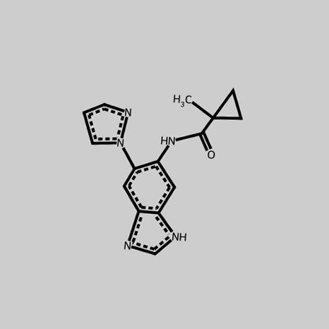 CC1(C(=O)Nc2cc3[nH]cnc3cc2-n2cccn2)CC1